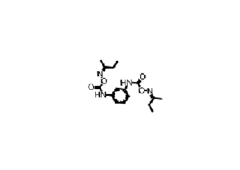 CCC(C)=NOC(=O)Nc1cccc(NC(=O)ON=C(C)CC)c1